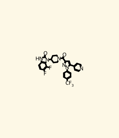 O=C(c1cc(-c2ccncc2)n(-c2ccc(C(F)(F)F)cc2)n1)N1CCC(n2c(=O)[nH]c3ccc(F)c(F)c32)CC1